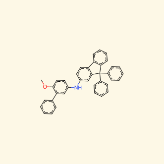 COc1ccc(Nc2ccc3c(c2)C(c2ccccc2)(c2ccccc2)c2ccccc2-3)cc1-c1ccccc1